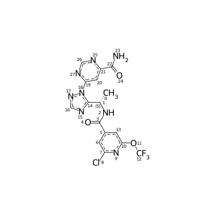 C[C@H](NC(=O)c1cc(Cl)nc(OC(F)(F)F)c1)c1ncnn1-c1cc(C(N)=O)ncn1